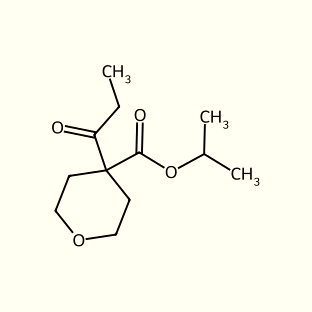 CCC(=O)C1(C(=O)OC(C)C)CCOCC1